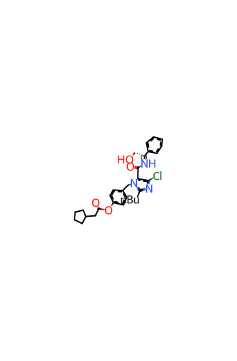 CCCCc1nc(Cl)c(C(=O)N[C@H](CO)c2ccccc2)n1Cc1ccc(OC(=O)CC2CCCC2)cc1